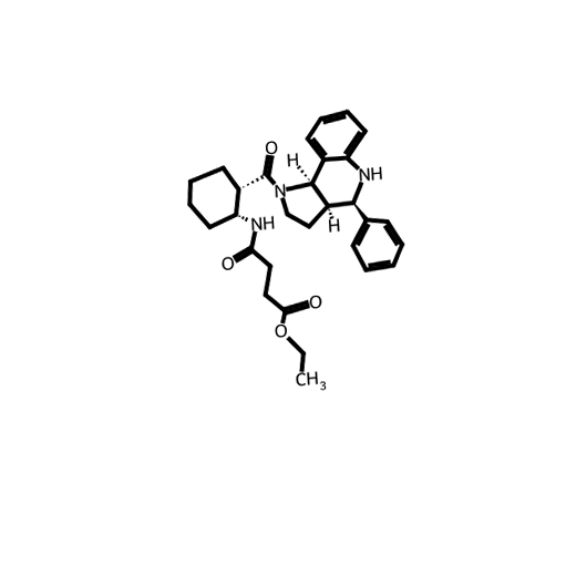 CCOC(=O)CCC(=O)N[C@@H]1CCCC[C@@H]1C(=O)N1CC[C@@H]2[C@H](c3ccccc3)Nc3ccccc3[C@@H]21